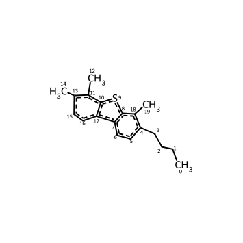 CCCCc1ccc2c(sc3c(C)c(C)ccc32)c1C